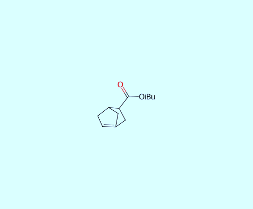 CC(C)COC(=O)C1CC2=CCC1C2